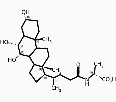 C[C@H](CCC(=O)N[C@H](C)C(=O)O)[C@H]1CCC2C3C(CC[C@@]21C)[C@@]1(C)CC[C@@H](O)CC1[C@@H](O)[C@H]3O